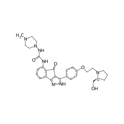 CN1CCN(NC(=O)Nc2cccc3c2C(=O)c2c-3n[nH]c2-c2ccc(OCCN3CCC[C@H]3CO)cc2)CC1